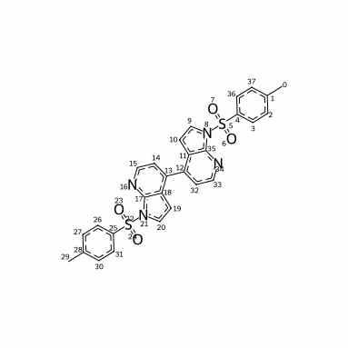 Cc1ccc(S(=O)(=O)n2ccc3c(-c4ccnc5c4ccn5S(=O)(=O)c4ccc(C)cc4)ccnc32)cc1